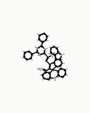 C=CC1=C(/C=C(\C)c2nc(-c3ccccc3)nc(-c3ccccc3)n2)c2c(ccc3sc4ccccc4c23)C12c1ccccc1Oc1ccccc12